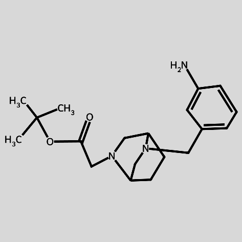 CC(C)(C)OC(=O)CN1CC2CCC1CN2Cc1cccc(N)c1